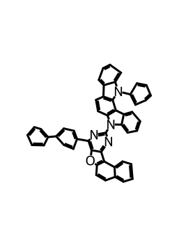 c1ccc(-c2ccc(-c3nc(-n4c5ccccc5c5c4ccc4c6ccccc6n(-c6ccccc6)c45)nc4c3oc3ccc5ccccc5c34)cc2)cc1